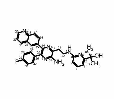 CC(C)(O)c1cccc(NCCc2nc(-c3ccc4ncccc4c3)c(-c3ccc(F)cc3)nc2N)n1